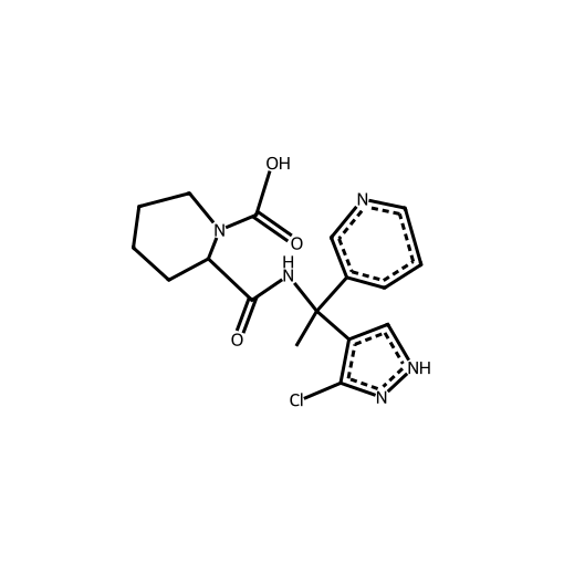 CC(NC(=O)C1CCCCN1C(=O)O)(c1cccnc1)c1c[nH]nc1Cl